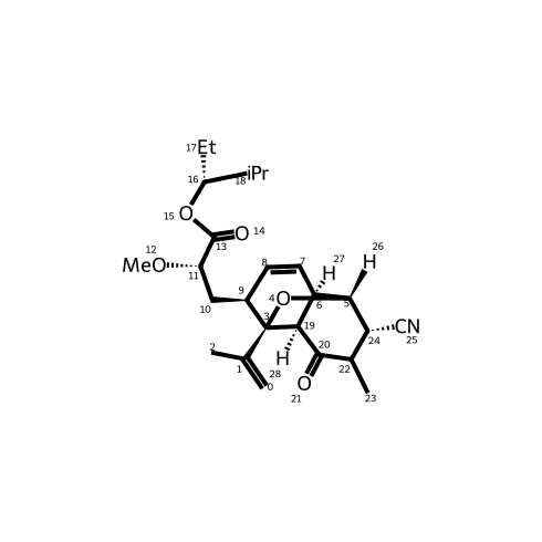 C=C(C)[C@]12O[C@@H]3[C@H](C=C[C@@H]1C[C@H](OC)C(=O)O[C@H](CC)C(C)C)[C@H]2C(=O)C(C)[C@H]3C#N